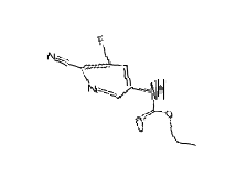 CCOC(=O)Nc1cnc(C#N)c(F)c1